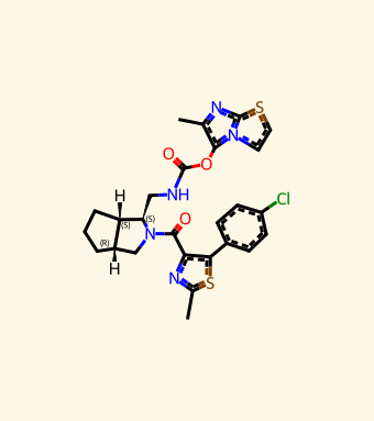 Cc1nc(C(=O)N2C[C@@H]3CCC[C@@H]3[C@H]2CNC(=O)Oc2c(C)nc3sccn23)c(-c2ccc(Cl)cc2)s1